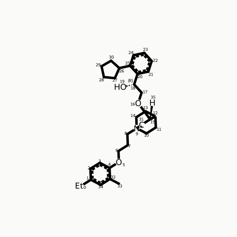 CCc1ccc(OCCC[N+]23CCC(CC2)[C@@H](OC[C@H](O)c2ccccc2C2CCCC2)C3)c(C)c1